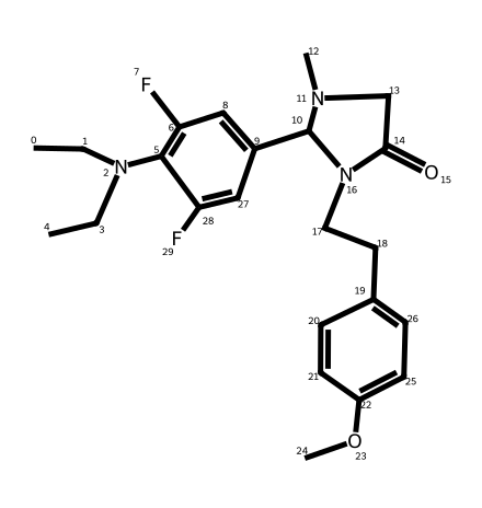 CCN(CC)c1c(F)cc(C2N(C)CC(=O)N2CCc2ccc(OC)cc2)cc1F